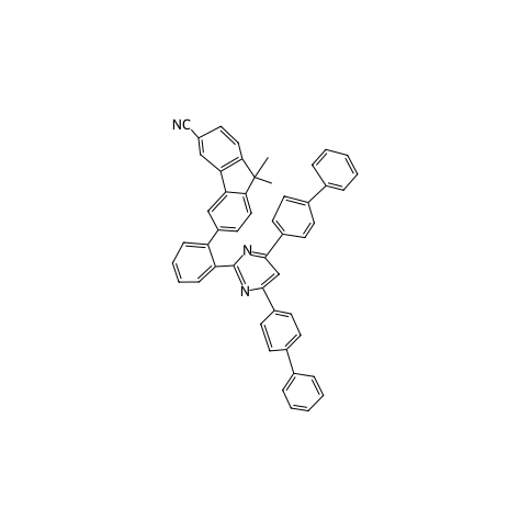 CC1(C)c2ccc(C#N)cc2-c2cc(-c3ccccc3-c3nc(-c4ccc(-c5ccccc5)cc4)cc(-c4ccc(-c5ccccc5)cc4)n3)ccc21